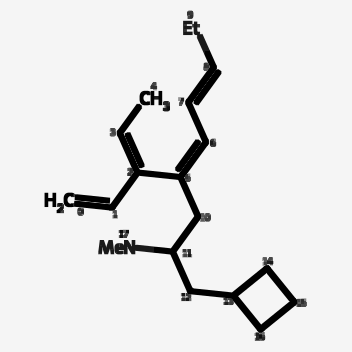 C=CC(=C/C)/C(=C\C=C\CC)CC(CC1CCC1)NC